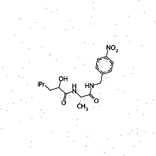 CC(C)CC(O)C(=O)N[C@@H](C)C(=O)NCc1ccc([N+](=O)[O-])cc1